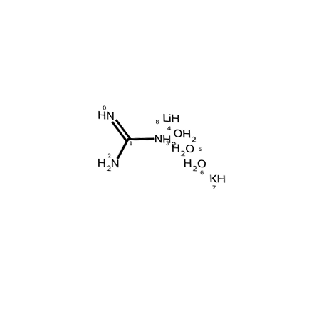 N=C(N)N.O.O.O.[KH].[LiH]